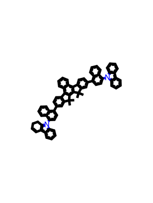 CC1(C)c2cc(-c3ccc(-n4c5c(c6ccccc64)C=CCC5)c4ccccc34)ccc2-c2c1c1c(c3ccccc23)-c2ccc(-c3ccc(-n4c5ccccc5c5ccccc54)c4ccccc34)cc2C1(C)C